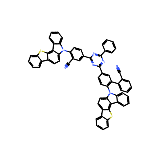 N#Cc1ccccc1-c1cc(-c2nc(-c3ccccc3)nc(-c3ccc(-n4c5ccccc5c5c6sc7ccccc7c6ccc54)c(C#N)c3)n2)ccc1-n1c2ccccc2c2c3sc4ccccc4c3ccc21